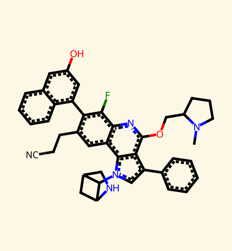 CN1CCCC1COc1nc2c(F)c(-c3cc(O)cc4ccccc34)c(CCC#N)cc2c2c1c(-c1ccccc1)cn2C1C2CNC1C2